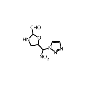 O=CC1NCC(C(n2ccnn2)[N+](=O)[O-])O1